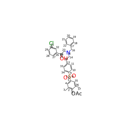 CC(=O)Oc1c(C)cc(S(=O)(=O)c2ccc(CCN(Cc3ccccc3)C[C@@H](O)c3cccc(Cl)c3)cc2)cc1C